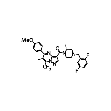 COc1ccc(-c2nc3c(C(=O)N4CCN(Cc5cc(F)ccc5F)C[C@H]4C)cnn3c(C(F)(F)F)c2C)cc1